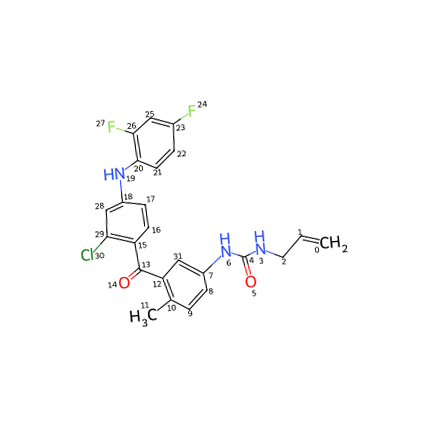 C=CCNC(=O)Nc1ccc(C)c(C(=O)c2ccc(Nc3ccc(F)cc3F)cc2Cl)c1